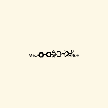 COc1ccc(-c2ccc(S(=O)(=O)N3CCN(c4ncc(C(=O)NO)cn4)CC3)cc2)cc1